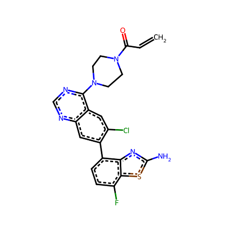 C=CC(=O)N1CCN(c2ncnc3cc(-c4ccc(F)c5sc(N)nc45)c(Cl)cc23)CC1